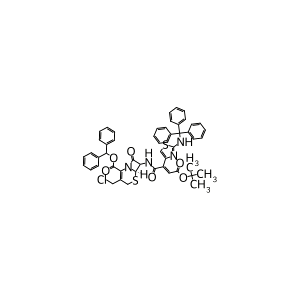 CC(C)(C)OC(=O)/C=C(/C(=O)NC1C(=O)N2C(C(=O)OC(c3ccccc3)c3ccccc3)=C(CCl)CS[C@H]12)c1csc(NC(c2ccccc2)(c2ccccc2)c2ccccc2)n1